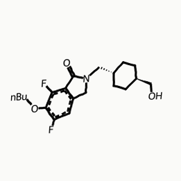 CCCCOc1c(F)cc2c(c1F)C(=O)N(C[C@H]1CC[C@H](CO)CC1)C2